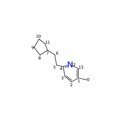 Cc1ccc(CCC2CCCC2)nc1